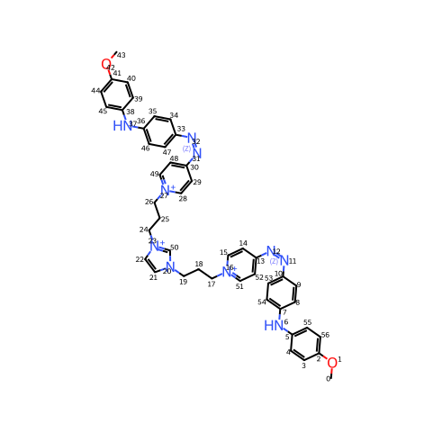 COc1ccc(Nc2ccc(/N=N\c3cc[n+](CCCn4cc[n+](CCC[n+]5ccc(/N=N\c6ccc(Nc7ccc(OC)cc7)cc6)cc5)c4)cc3)cc2)cc1